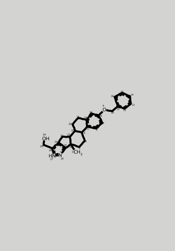 CC12CCC3c4ccc(OCc5ccccc5)cc4CCC3C1Cc1c2n[nH]c1CO